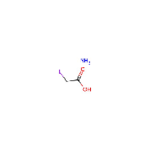 N.O=C(O)CI